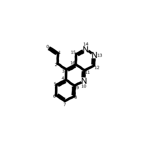 C=CCc1c2ccccc2nc2cnncc12